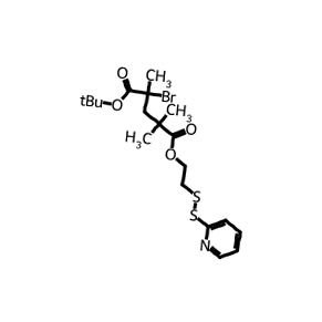 CC(C)(C)OC(=O)C(C)(Br)CC(C)(C)C(=O)OCCSSc1ccccn1